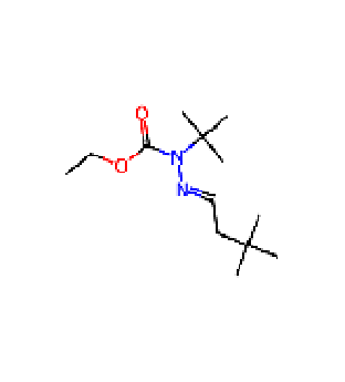 CCOC(=O)N(N=CCC(C)(C)C)C(C)(C)C